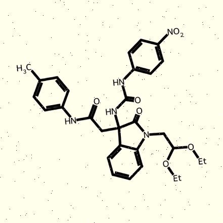 CCOC(CN1C(=O)C(CC(=O)Nc2ccc(C)cc2)(NC(=O)Nc2ccc([N+](=O)[O-])cc2)c2ccccc21)OCC